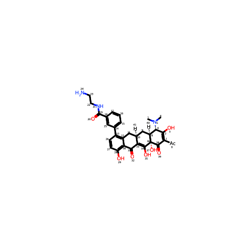 CC(=O)C1=C(O)[C@@H](N(C)C)[C@@H]2C[C@@H]3Cc4c(-c5cccc(C(=O)NCCN)c5)ccc(O)c4C(=O)C3=C(O)[C@]2(O)C1=O